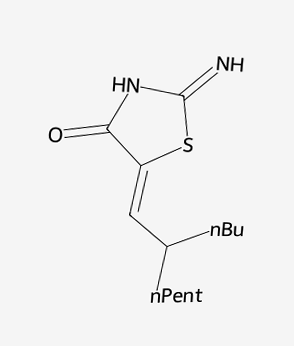 CCCCCC(/C=C1\SC(=N)NC1=O)CCCC